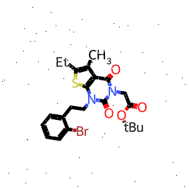 CCc1sc2c(c1C)c(=O)n(CC(=O)OC(C)(C)C)c(=O)n2CCc1ccccc1Br